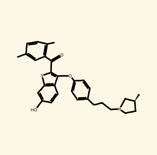 Cc1ccc(C)c(C(=O)c2sc3cc(O)ccc3c2Oc2ccc(CCCN3CC[C@H](C)C3)cc2)c1